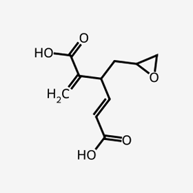 C=C(C(=O)O)C(C=CC(=O)O)CC1CO1